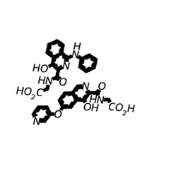 O=C(O)CNC(=O)c1nc(Nc2ccccc2)c2ccccc2c1O.O=C(O)CNC(=O)c1ncc2ccc(Oc3cccnc3)cc2c1O